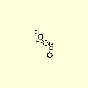 C=C(OCc1ccccc1)N1CCC(C)(c2ccc(Cl)cc2F)CC1